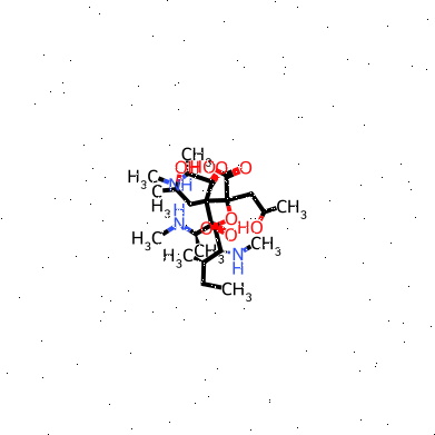 CC[C@@H](C)[C@@H](NC)C(=O)OC(CC(C)O)(C(=O)O)C(CC(C)O)(C(=O)[C@@H](C)NC)C(=O)[C@@H](C)NC